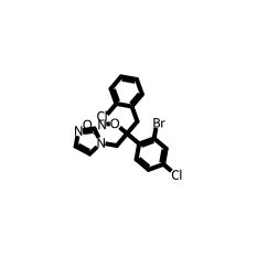 O=[N+]([O-])OC(Cc1ccccc1Cl)(Cn1ccnc1)c1ccc(Cl)cc1Br